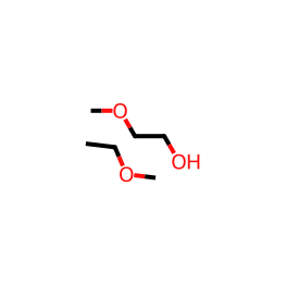 CCOC.COCCO